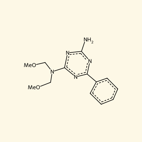 COCN(COC)c1nc(N)nc(-c2ccccc2)n1